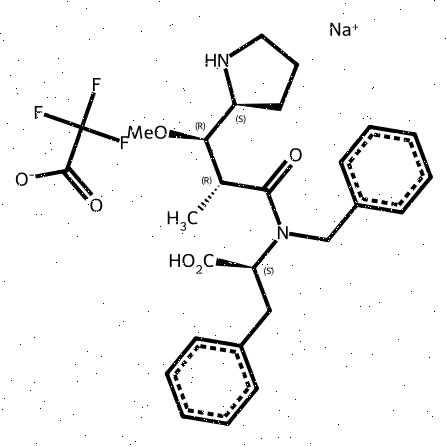 CO[C@@H]([C@@H]1CCCN1)[C@@H](C)C(=O)N(Cc1ccccc1)[C@@H](Cc1ccccc1)C(=O)O.O=C([O-])C(F)(F)F.[Na+]